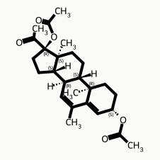 CC(=O)O[C@@H]1C=C2C(C)=C[C@@H]3[C@H](CC[C@@]4(C)[C@H]3CC[C@]4(OC(C)=O)C(C)=O)[C@@]2(C)CC1